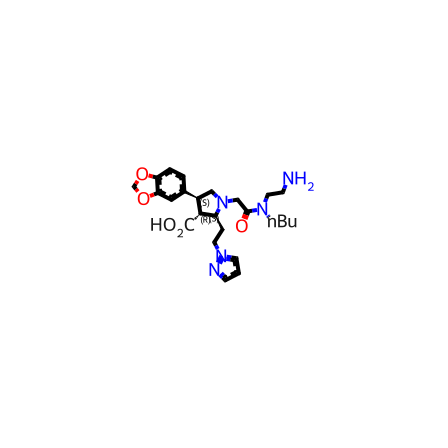 CCCCN(CCN)C(=O)CN1C[C@H](c2ccc3c(c2)OCO3)[C@@H](C(=O)O)[C@@H]1CCn1cccn1